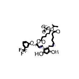 CC(C)OC(=O)CCC/C=C\C[C@@H]1[C@@H](/C=C/[C@H](COc2cccc(C(F)(F)F)c2)OC(=O)CCCCCO[N+](=O)[O-])[C@H](O)C[C@@H]1O